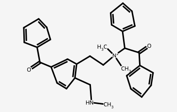 CNCc1ccc(C(=O)c2ccccc2)cc1CC[N+](C)(C)C(C(=O)c1ccccc1)c1ccccc1